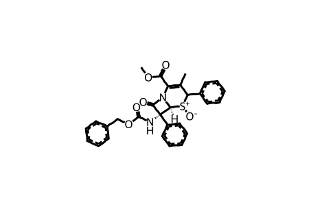 COC(=O)C1=C(C)C(c2ccccc2)[S+]([O-])[C@@H]2N1C(=O)[C@]2(NC(=O)OCc1ccccc1)c1ccccc1